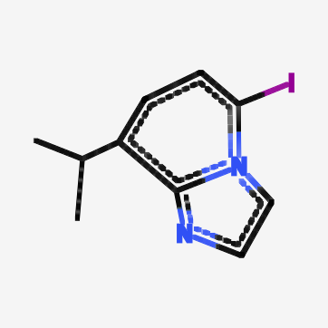 CC(C)c1ccc(I)n2ccnc12